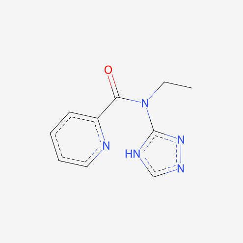 CCN(C(=O)c1ccccn1)c1nnc[nH]1